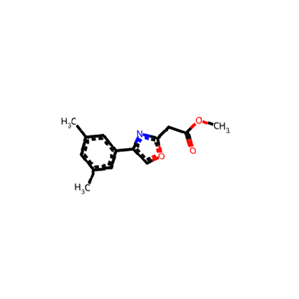 COC(=O)Cc1nc(-c2cc(C)cc(C)c2)co1